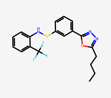 CCCCc1nnc(-c2cccc(SNc3ccccc3C(F)(F)F)c2)o1